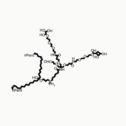 CCCCC/C=C\C/C=C\CCCCCCCCC(O)(CCCCCCCC/C=C\C/C=C\CCCCC)OCCCN(C)CCCCCC(=O)NC(COCCC=O)(COCCC(=O)NCCOCCOCCOC(O)C(O)O)COCCC(=O)NCCOCCOCCOC(O)C1CC(O)C1O